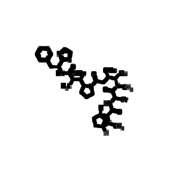 CC[C@H](C)[C@@H]([C@@H](CC(=O)N1CCCC1[C@H](OC)[C@@H](C)C(=O)N[C@@H](Cc1ccccc1)c1nccs1)OC)N(C)C(=O)C(NC(=O)[C@@H]1[C@H]2CC[C@H](C2)N1C)C(C)C